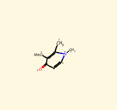 COc1c(C)n(C)ccc1=O